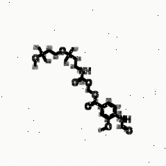 COc1cc(C(=O)OCOC(=O)NCCC(C)(C)OCCC(C)(C)OC)ccc1NC=O